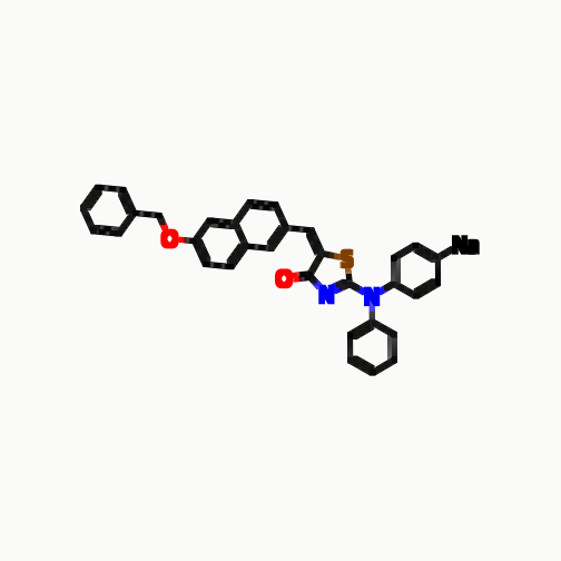 O=C1N=C(N(c2ccccc2)c2cc[c]([Na])cc2)SC1=Cc1ccc2cc(OCc3ccccc3)ccc2c1